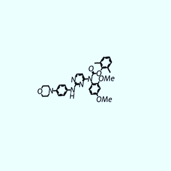 COc1ccc(N(C(=O)Oc2c(C)cccc2C)c2ccnc(Nc3ccc(N4CCOCC4)cc3)n2)c(OC)c1